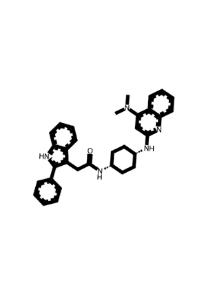 CN(C)c1cc(N[C@H]2CC[C@@H](NC(=O)Cc3c(-c4ccccc4)[nH]c4ccccc34)CC2)nc2ccccc12